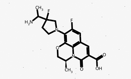 CC(N)C1(F)CCN(c2c(F)cc3cc(C(=O)O)c(=O)n4c3c2OC[C@@H]4C)C1